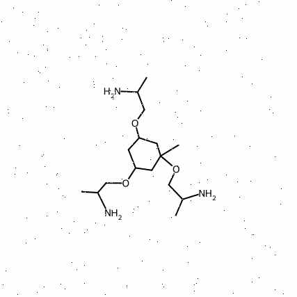 CC(N)COC1CC(OCC(C)N)CC(C)(OCC(C)N)C1